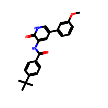 COc1cccc(-c2c[nH]c(=O)c(NC(=O)c3ccc(C(C)(C)C)cc3)c2)c1